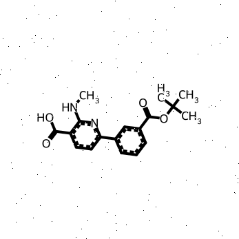 CNc1nc(-c2cccc(C(=O)OC(C)(C)C)c2)ccc1C(=O)O